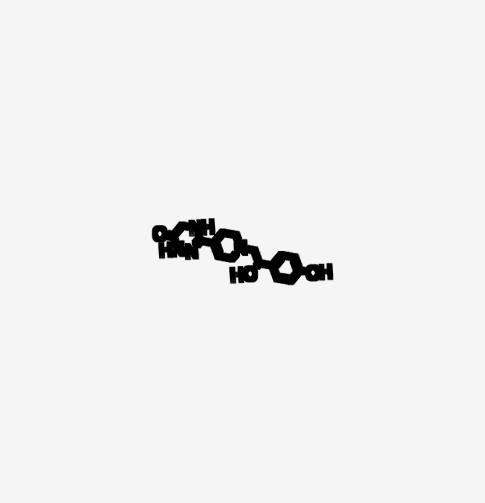 O=C1CNC(C2=CCN(CC(O)c3ccc(O)cc3)CC2)=NN1